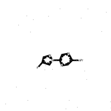 CCCc1cnc(-n2cc(F)cn2)cn1